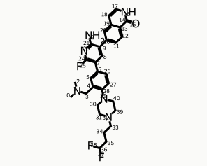 CN(C)Cc1cc(-c2cc(-c3ccc4c(=O)[nH]ccc4c3)c(N)nc2F)ccc1N1CCN(CCCC(F)F)CC1